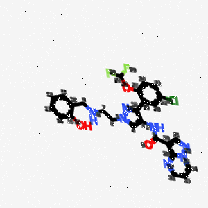 O=C(Nc1cn(CCNCc2ccccc2O)nc1-c1cc(Cl)ccc1OC(F)F)c1cnn2cccnc12